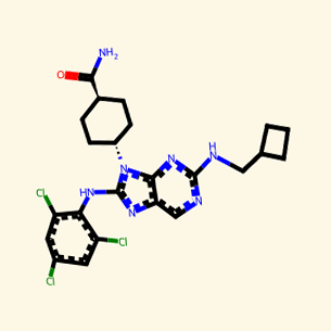 NC(=O)[C@H]1CC[C@H](n2c(Nc3c(Cl)cc(Cl)cc3Cl)nc3cnc(NCC4CCC4)nc32)CC1